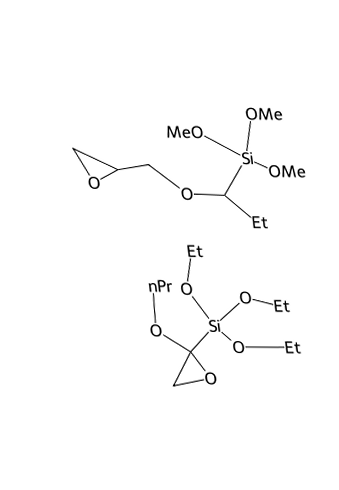 CCC(OCC1CO1)[Si](OC)(OC)OC.CCCOC1([Si](OCC)(OCC)OCC)CO1